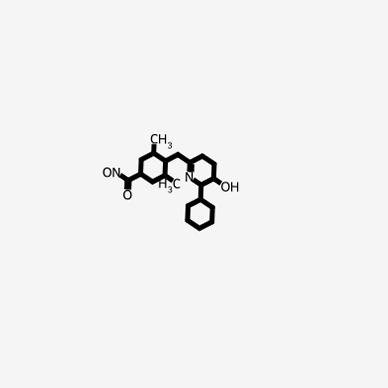 CC1CC(C(=O)N=O)CC(C)C1CC1=NC(C2CCCCC2)C(O)CC1